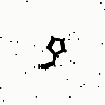 N=Cn1cccc1